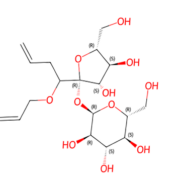 C=CCOC(CC=C)[C@@]1(O[C@H]2O[C@H](CO)[C@@H](O)[C@H](O)[C@H]2O)O[C@H](CO)[C@@H](O)[C@@H]1O